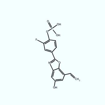 C=Cc1cc(O)cc2nc(-c3ccc(OP(=O)(O)O)c(F)c3)oc12